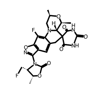 C[C@@H]1CN2c3c(cc4c(N5C(=O)O[C@H](C)[C@@H]5CF)noc4c3F)CC3(C(=O)NC(=O)NC3=O)[C@H]2[C@H](C)O1